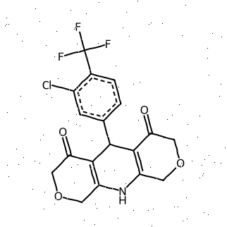 O=C1COCC2=C1C(c1ccc(C(F)(F)F)c(Cl)c1)C1=C(COCC1=O)N2